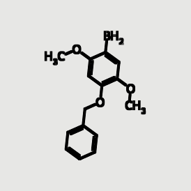 Bc1cc(OC)c(OCc2ccccc2)cc1OC